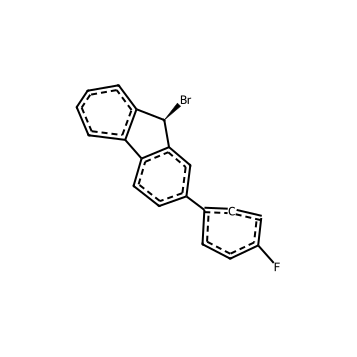 Fc1ccc(-c2ccc3c(c2)[C@H](Br)c2ccccc2-3)cc1